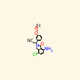 CCOCOc1cccc(C(CC#N)N2Cc3c(Cl)ccc(N)c3C2=O)c1